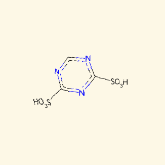 O=S(=O)(O)c1ncnc(S(=O)(=O)O)n1